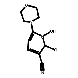 N#CC1=CC=C(N2CCOCC2)N(O)C1Cl